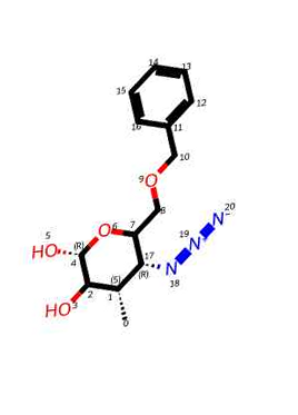 C[C@@H]1C(O)[C@H](O)OC(COCc2ccccc2)[C@@H]1N=[N+]=[N-]